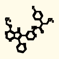 O=C(Nc1cc(-c2[nH]c3c(OCC(F)(F)F)ncnc3c2-c2ccccn2)ccn1)C(CC(F)(F)F)c1ccc(F)cc1